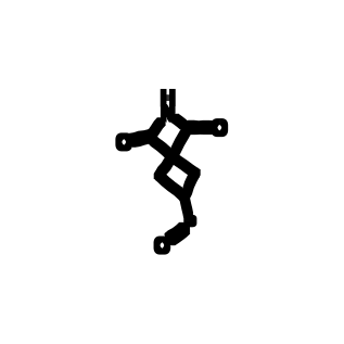 O=PC1CC2(C1)C(=O)NC2=O